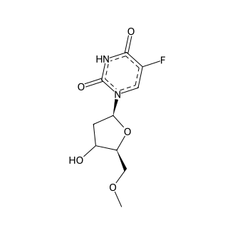 COC[C@@H]1O[C@H](n2cc(F)c(=O)[nH]c2=O)CC1O